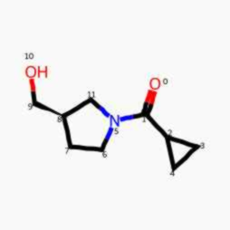 O=C(C1CC1)N1CC[C@@H](CO)C1